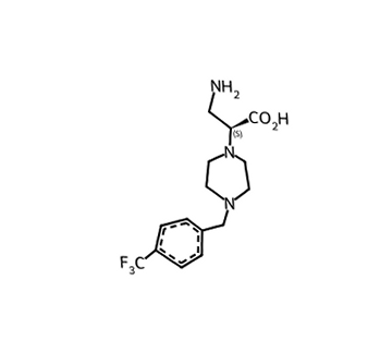 NC[C@@H](C(=O)O)N1CCN(Cc2ccc(C(F)(F)F)cc2)CC1